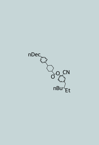 CCCCCCCCCCc1ccc(C2CCC(C(=O)Oc3ccc(CC(CC)CCCC)cc3C#N)CC2)cc1